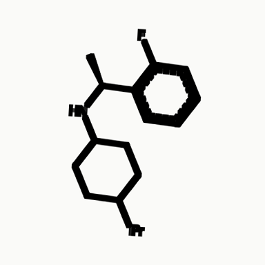 CC(C)C1CCC(N[C@@H](C)c2ccccc2F)CC1